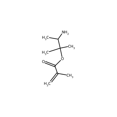 C=C(C)C(=O)OC(C)(C)C(C)N